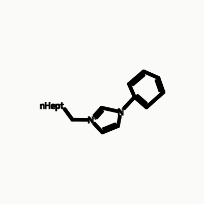 CCCCCCCC[n+]1ccn(-c2ccccc2)c1